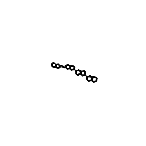 c1ccc2cc(-c3ccc4cc(-c5ccc6cc7sc8c9cc%10ccccc%10cc9sc8c7cc6c5)ccc4c3)ccc2c1